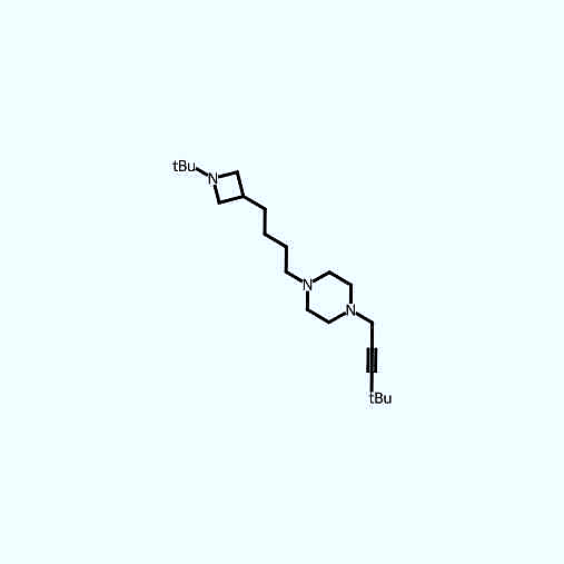 CC(C)(C)C#CCN1CCN(CCCCC2CN(C(C)(C)C)C2)CC1